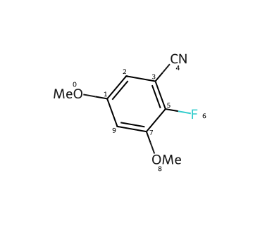 COc1cc(C#N)c(F)c(OC)c1